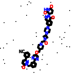 N#Cc1cccc(-c2ccc(=O)n(Cc3cccc(-c4ncc(OCC5CCN(CC(=O)N6CC(N7CCN(c8ccc9c(=O)n(C%10CCC(=O)NC%10=O)ncc9c8)CC7)C6)CC5)cn4)c3)n2)c1